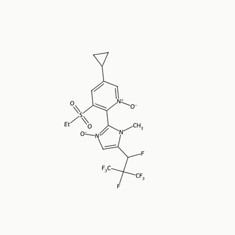 CCS(=O)(=O)c1cc(C2CC2)c[n+]([O-])c1-c1n(C)c(C(F)C(F)(C(F)(F)F)C(F)(F)F)c[n+]1[O-]